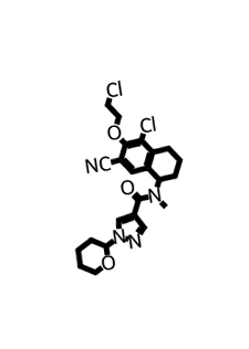 CN(C(=O)c1cnn(C2CCCCO2)c1)C1CCCc2c1cc(C#N)c(OCCCl)c2Cl